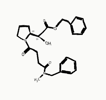 CN(Cc1ccccc1)C(=O)CCC(=O)N1CCC[C@H]1[C@H](O)C(=O)OCc1ccccc1